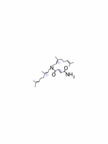 CC(C)=CCC/C(C)=C/CN(C/C=C(\C)CCC=C(C)C)C(=O)/C=C/C(N)=O